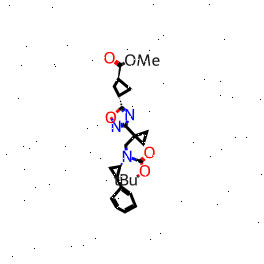 COC(=O)[C@H]1C[C@H](c2nc(C3(CN(C(=O)OC(C)(C)C)[C@H]4CC4c4ccccc4)CC3)no2)C1